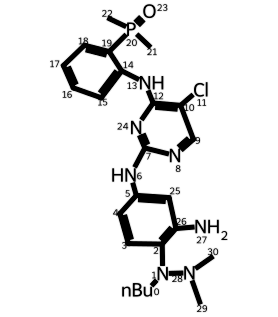 CCCCN(c1ccc(Nc2ncc(Cl)c(Nc3ccccc3P(C)(C)=O)n2)cc1N)N(C)C